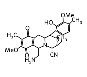 COC1=C(C)C(=O)C2=C(C1=O)C(CN)N1C(C2)C2c3c(cc(C)c(OC)c3O)CC([C@@H]1C#N)N2C